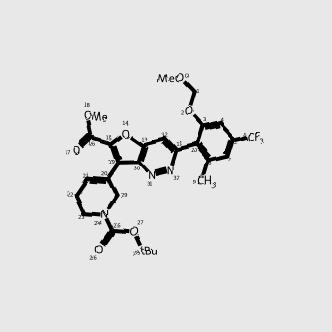 COCOc1cc(C(F)(F)F)cc(C)c1-c1cc2oc(C(=O)OC)c(C3=CCCN(C(=O)OC(C)(C)C)C3)c2nn1